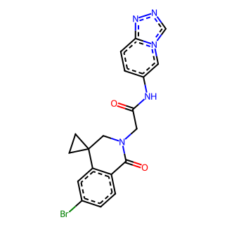 O=C(CN1CC2(CC2)c2cc(Br)ccc2C1=O)Nc1ccc2nncn2c1